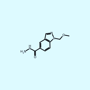 COCn1ncc2cc(C(=O)NN)ccc21